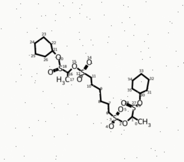 CC(OS(=O)(=O)CCCCCCS(=O)(=O)OC(C)S(=O)OC1CCCCC1)S(=O)OC1CCCCC1